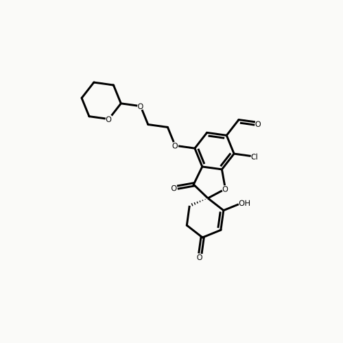 O=Cc1cc(OCCOC2CCCCO2)c2c(c1Cl)O[C@]1(CCC(=O)C=C1O)C2=O